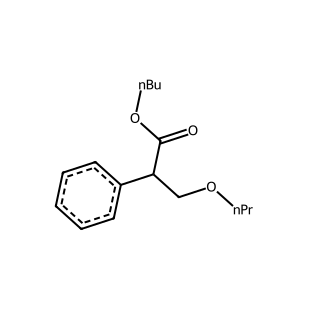 CCCCOC(=O)C(COCCC)c1ccccc1